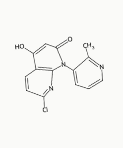 Cc1ncccc1-n1c(=O)cc(O)c2ccc(Cl)nc21